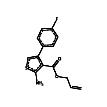 C=CCOC(=O)c1c(-c2ccc(F)cc2)csc1N